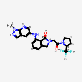 Cn1ncc2cc(Nc3cccc4c3C(=O)N(CC(=O)N3CCCC3C(F)(F)F)C4)cnc21